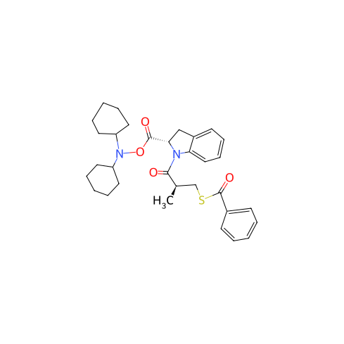 C[C@H](CSC(=O)c1ccccc1)C(=O)N1c2ccccc2C[C@H]1C(=O)ON(C1CCCCC1)C1CCCCC1